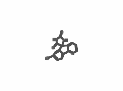 O=C1NC(=O)C2(N1)c1cc(Cl)ccc1-c1ncccc12